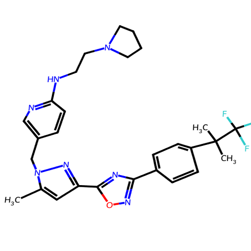 Cc1cc(-c2nc(-c3ccc(C(C)(C)C(F)(F)F)cc3)no2)nn1Cc1ccc(NCCN2CCCC2)nc1